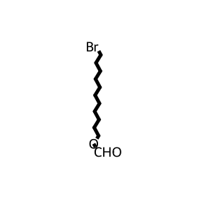 O=[C]OCCCCCCCCCCCBr